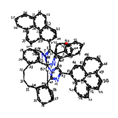 c1ccc(C2=NC3(N=C2c2ccc4ccc5cccc6ccc2c4c56)c2cc4ccc2CCCc2ccc(cc2-c2nc(-c5cc6cccc7ccc8cccc5c8c76)c(-c5ccccc5)n23)CCC4)cc1